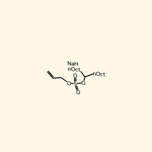 C=CCOS(=O)(=O)OC(CCCCCCCC)CCCCCCCC.[NaH]